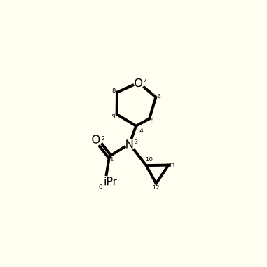 CC(C)C(=O)N(C1CCOCC1)C1CC1